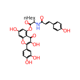 CCCCCCC(NC(=O)/C=C/c1ccc(O)cc1)C(=O)Oc1cc(O)cc2oc(-c3ccc(O)c(O)c3)c(O)c(=O)c12